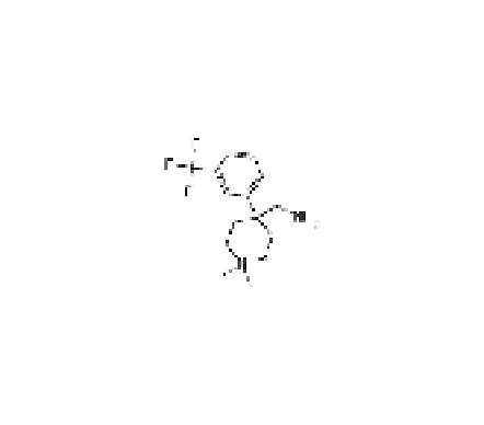 C[N+]1(C)CCC(CN)(c2cccc(C(F)(F)F)c2)CC1